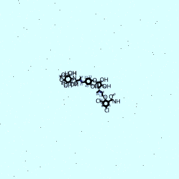 COC(=N)c1cc(Cl)cc(Cl)c1OC/C=C(\C)[C@H]1O[C@@H](Oc2ccc(/C=C(\C)C(=O)N[C@@H]3[C@H](O)[C@@H](O)[C@H]4OCO[C@H]4[C@@H]3O)cc2O)[C@@H](O)[C@@H]1O